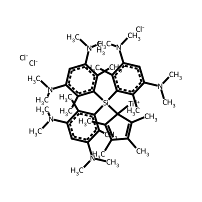 CC1=C(C)[C]([Ti+3])([Si](c2c(C)c(N(C)C)cc(N(C)C)c2C)(c2c(C)c(N(C)C)cc(N(C)C)c2C)c2c(C)c(N(C)C)cc(N(C)C)c2C)C(C)=C1C.[Cl-].[Cl-].[Cl-]